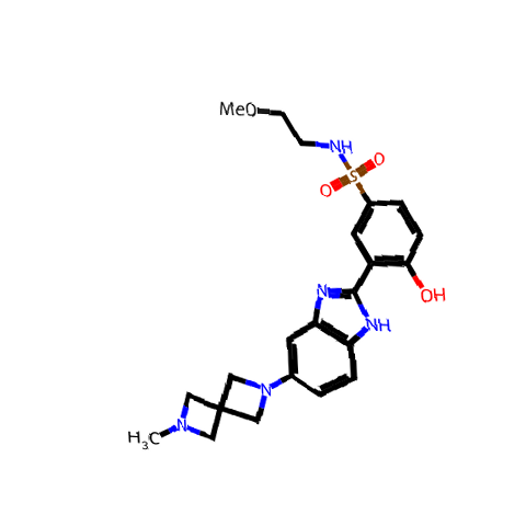 COCCNS(=O)(=O)c1ccc(O)c(-c2nc3cc(N4CC5(CN(C)C5)C4)ccc3[nH]2)c1